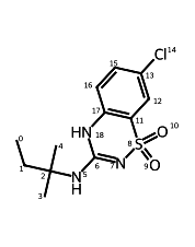 CCC(C)(C)NC1=NS(=O)(=O)c2cc(Cl)ccc2N1